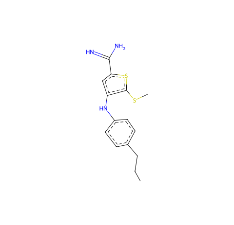 CCCc1ccc(Nc2cc(C(=N)N)sc2SC)cc1